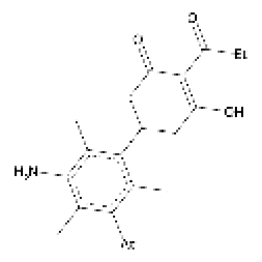 CCC(=O)C1=C(O)CC(c2c(C)c(N)c(C)c(C(C)=O)c2C)CC1=O